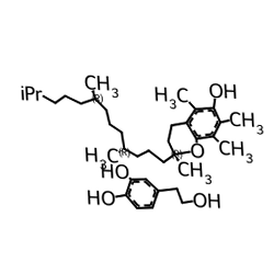 Cc1c(C)c2c(c(C)c1O)CC[C@@](C)(CCC[C@H](C)CCC[C@H](C)CCCC(C)C)O2.OCCc1ccc(O)c(O)c1